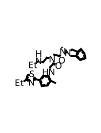 CCNCCN(CC(=O)N(C)N1Cc2ccccc2C1)C(=O)CNc1cc(-c2nc(CC)cs2)ccc1C